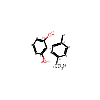 Cc1ccc(C(=O)O)cc1.Oc1cccc(O)c1